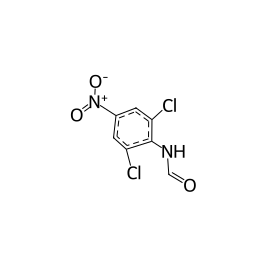 O=CNc1c(Cl)cc([N+](=O)[O-])cc1Cl